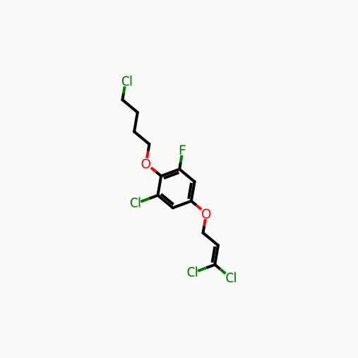 Fc1cc(OCC=C(Cl)Cl)cc(Cl)c1OCCCCCl